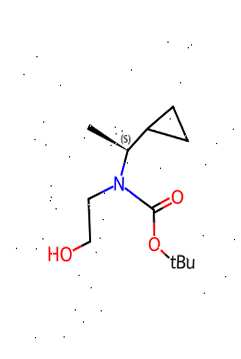 C[C@@H](C1CC1)N(CCO)C(=O)OC(C)(C)C